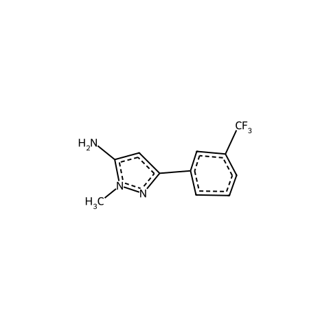 Cn1nc(-c2cccc(C(F)(F)F)c2)cc1N